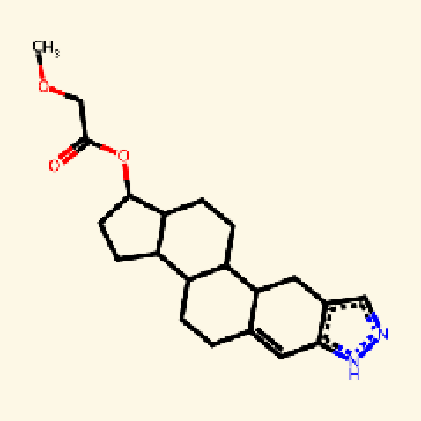 COCC(=O)OC1CCC2C1CCC1C3Cc4cn[nH]c4C=C3CCC12